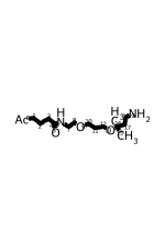 CC(=O)CCCC(=O)NCCOCCCOC(C)(C)CCN